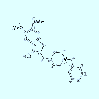 COc1cc2c(cc1OC)C(=O)C(CC1=CCN(Cc3ccccc3)CC1)C2